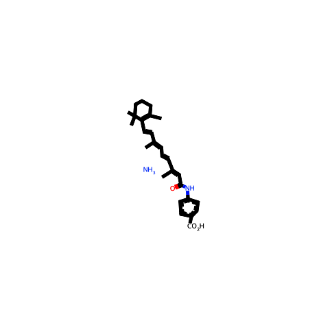 CC1=C(/C=C/C(C)=C/C=C/C(C)=C/C(=O)Nc2ccc(C(=O)O)cc2)C(C)(C)CCC1.N